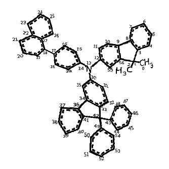 CC1(C)c2ccccc2-c2ccc(N(c3ccc(-c4cccc5ccccc45)cc3)c3ccc4c(c3)-c3ccccc3C4(c3ccccc3)c3ccccc3)cc21